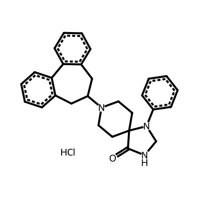 Cl.O=C1NCN(c2ccccc2)C12CCN(C1Cc3ccccc3-c3ccccc3C1)CC2